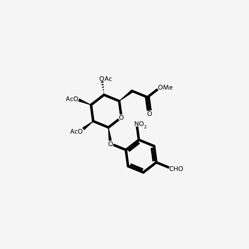 COC(=O)C[C@H]1O[C@@H](Oc2ccc(C=O)cc2[N+](=O)[O-])[C@@H](OC(C)=O)[C@@H](OC(C)=O)[C@@H]1OC(C)=O